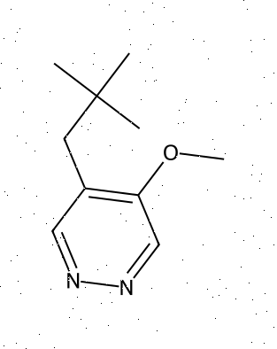 COc1cnncc1CC(C)(C)C